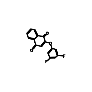 O=C1C=C(Oc2cc(F)cc(F)c2)C(=O)c2ccccc21